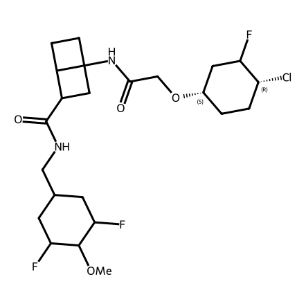 COC1C(F)CC(CNC(=O)C2CC3(NC(=O)CO[C@H]4CC[C@@H](Cl)C(F)C4)CCC23)CC1F